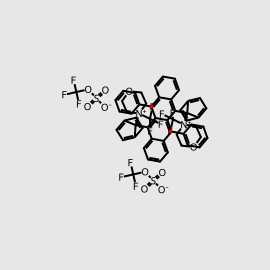 FC(F)(F)[N+]1(C2(c3c4ccccc4c(-c4ccccc4)c4c(C5([N+]6(C(F)(F)F)CCOCC6)C6=CC=C5C=C6)c5ccccc5c(-c5ccccc5)c34)C3=CC=C2C=C3)CCOCC1.O=S(=O)([O-])OC(F)(F)F.O=S(=O)([O-])OC(F)(F)F